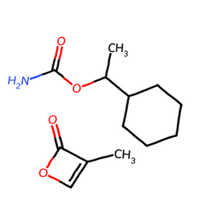 CC(OC(N)=O)C1CCCCC1.CC1=COC1=O